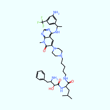 CC(C)CC(NC(=O)C(O)C(N)Cc1ccccc1)C(=O)NCCCCCN1CCN(c2cc3c(NC(C)c4cc(N)cc(C(F)(F)F)c4)ncnc3n(C)c2=O)CC1